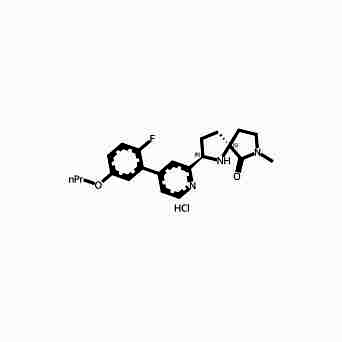 CCCOc1ccc(F)c(-c2ccnc([C@H]3CC[C@@]4(CCN(C)C4=O)N3)c2)c1.Cl